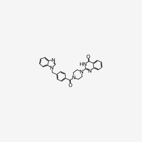 O=C(c1ccc(Cn2cnc3ccccc32)cc1)N1CCN(c2nc3ccccc3c(=O)[nH]2)CC1